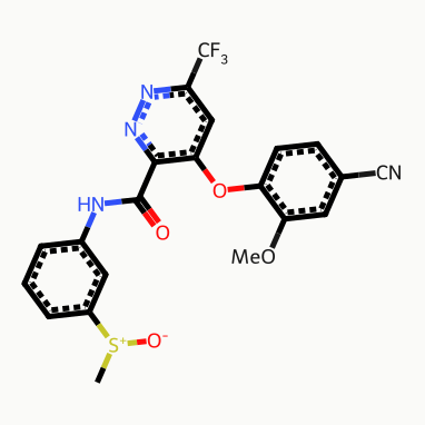 COc1cc(C#N)ccc1Oc1cc(C(F)(F)F)nnc1C(=O)Nc1cccc([S+](C)[O-])c1